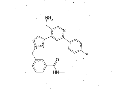 CNC(=O)c1cccc(Cn2ccc(-c3cc(-c4ccc(F)cc4)ncc3CN)n2)c1